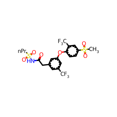 CCCS(=O)(=O)NC(=O)Cc1cc(Oc2ccc(S(C)(=O)=O)cc2C(F)(F)F)cc(C(F)(F)F)c1